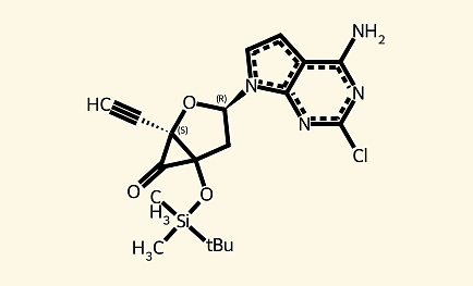 C#C[C@]12O[C@@H](n3ccc4c(N)nc(Cl)nc43)CC1(O[Si](C)(C)C(C)(C)C)C2=O